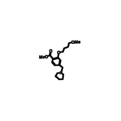 COCCCCOc1cc(CN2CCCCC2)ccc1C(=O)OC